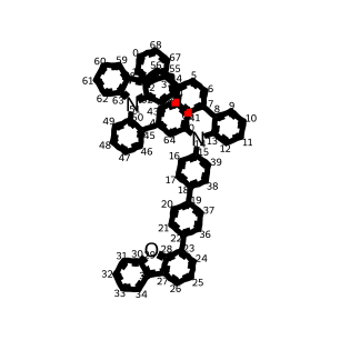 c1ccc(-c2ccc(-c3ccccc3N(c3ccc(-c4ccc(-c5cccc6c5oc5ccccc56)cc4)cc3)c3cccc(-c4ccccc4-n4c5ccccc5c5ccccc54)c3)cc2)cc1